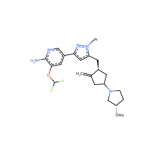 C=C1CC(N2CC[C@H](OC)C2)C[C@@H]1Cc1cc(-c2cnc(N)c(OC(F)F)c2)nn1C(C)C